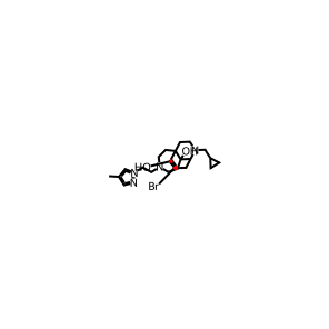 Cc1cnn(CCN2CCC34CCN(CC5CC5)C(Cc5cc(Br)c(O)cc53)C4(O)CC2)c1